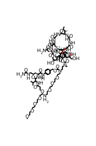 CC[C@H](C)[C@@H]1NC(=O)CNC(=O)[C@H]2Cc3c([nH]c4cc(OC(=O)N(C)CCN(CCOCCOCCOCCN)C(=O)OCc5ccc(NC(=O)[C@H](CCCNC(N)=O)NC(=O)[C@@H](NC(=O)CCOCCOCCOCCOCCOC)C(C)C)cc5)ccc34)[S+]([O-])C[C@H](NC(=O)CNC1=O)C(=O)N[C@@H](CC(N)=O)C(=O)N1C[C@H](O)C[C@H]1C(=O)N[C@@H]([C@@H](C)[C@@H](O)CO)C(=O)N2